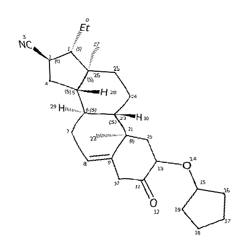 CC[C@H]1[C@H](C#N)C[C@H]2[C@@H]3CC=C4CC(=O)C(OC5CCCC5)C[C@]4(C)[C@H]3CC[C@@]21C